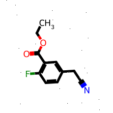 CCOC(=O)c1cc(CC#N)ccc1F